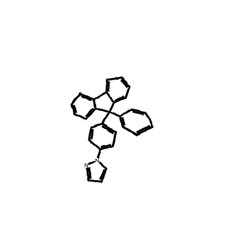 c1ccc(C2(c3ccc(-n4cccn4)cc3)c3ccccc3-c3ccccc32)cc1